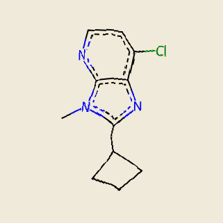 Cn1c(C2CCC2)nc2c(Cl)ccnc21